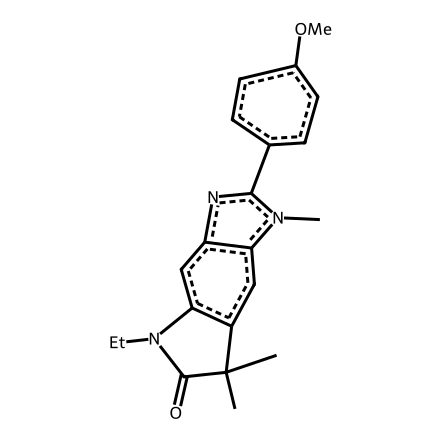 CCN1C(=O)C(C)(C)c2cc3c(cc21)nc(-c1ccc(OC)cc1)n3C